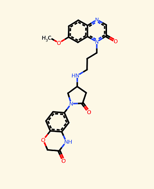 COc1ccc2ncc(=O)n(CCCNC3CC(=O)N(c4ccc5c(c4)NC(=O)CO5)C3)c2c1